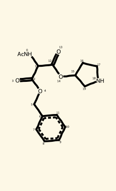 CC(=O)NC(C(=O)OCc1ccccc1)C(=O)OC1CCNC1